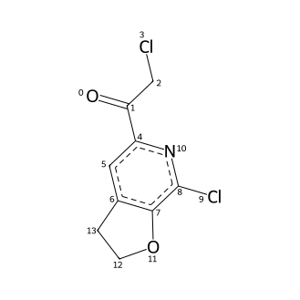 O=C(CCl)c1cc2c(c(Cl)n1)OCC2